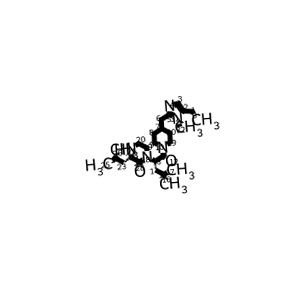 CCc1cnc(CC2CCN(C(=O)[C@H](CC(C)C)N3CCN[C@@H](CC(C)C)C3=O)CC2)n1C